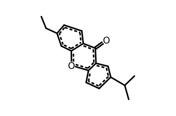 CCc1ccc2c(=O)c3cc(C(C)C)ccc3oc2c1